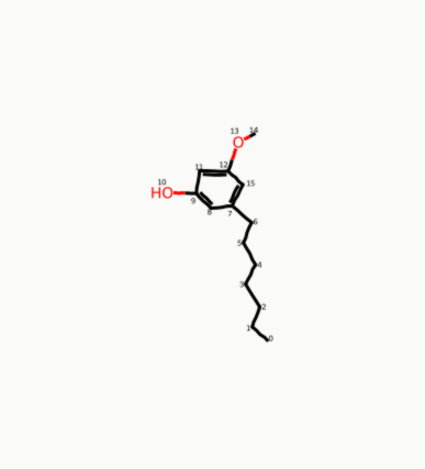 CCCCCCCc1cc(O)cc(OC)c1